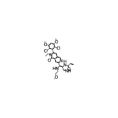 C=CC(=O)N/C(C=N)=C(/NCCOC)c1cc2c(=O)n(CC)c(-c3c(Cl)c(OC)cc(OC)c3Cl)cc2cn1